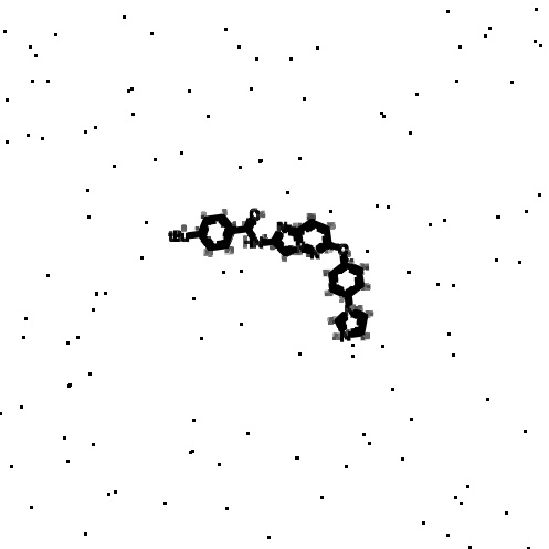 CC(C)(C)c1ccc(C(=O)Nc2cn3nc(Oc4ccc(-n5ccnc5)cc4)ccc3n2)cc1